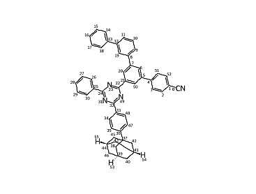 N#Cc1ccc(-c2cc(-c3cccc(-c4ccccc4)c3)cc(-c3nc(-c4ccccc4)nc(-c4ccc(C56C[C@H]7C[C@@H](C5)C[C@@H](C6)C7)cc4)n3)c2)cc1